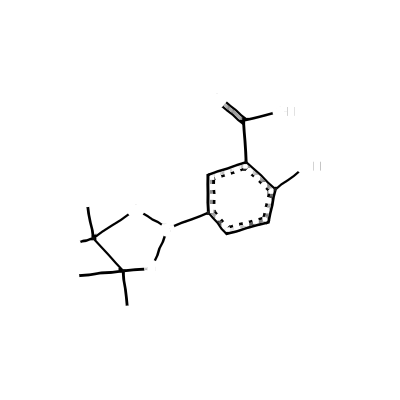 CC1(C)OB(c2ccc(O)c(C(=O)O)c2)OC1(C)C